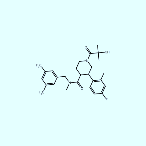 Cc1cc(F)ccc1C1CN(C(=O)C(C)(C)O)CCC1C(=O)N(C)Cc1cc(C(F)(F)F)cc(C(F)(F)F)c1